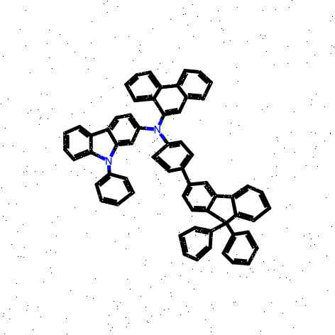 c1ccc(-n2c3ccccc3c3ccc(N(c4ccc(-c5ccc6c(c5)-c5ccccc5C6(c5ccccc5)c5ccccc5)cc4)c4cc5ccccc5c5ccccc45)cc32)cc1